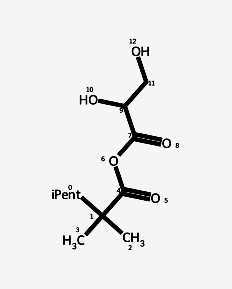 CCCC(C)C(C)(C)C(=O)OC(=O)C(O)CO